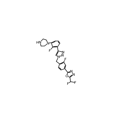 Fc1cc(-c2nnc(C(F)F)o2)ccc1Cn1cc(-c2cccc(N3CCNCC3)c2F)nn1